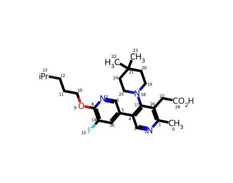 Cc1ncc(-c2cnc(OCCCC(C)C)c(F)c2)c(N2CCC(C)(C)CC2)c1CC(=O)O